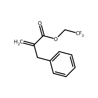 C=C(Cc1ccccc1)C(=O)OCC(F)(F)F